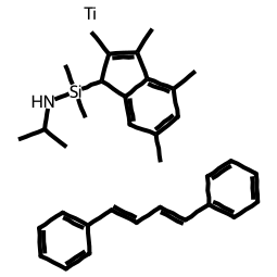 C(C=Cc1ccccc1)=Cc1ccccc1.CC1=C(C)C([Si](C)(C)NC(C)C)c2cc(C)cc(C)c21.[Ti]